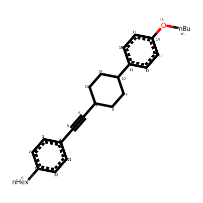 CCCCCCc1ccc(C#CC2CCC(c3ccc(OCCCC)cc3)CC2)cc1